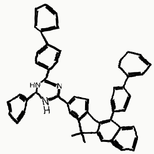 CC1(C)c2cc(C3N=C(c4ccc(-c5ccccc5)cc4)NC(c4ccccc4)N3)ccc2-c2c1cc1ccccc1c2-c1ccc(C2=CC=CCC2)cc1